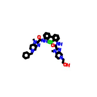 Cn1c(C(=O)Nc2cccc(-c3cccc(NC(=O)c4nc5c(n4C)CCN(CC4CCCCC4)C5)c3Cl)c2Cl)nc2c1CCN(CCO)C2